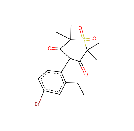 CCc1cc(Br)ccc1C1C(=O)C(C)(C)S(=O)(=O)C(C)(C)C1=O